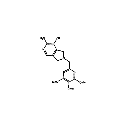 COc1cc(CN2Cc3cnc(N)c(C#N)c3C2)cc(OC)c1OC